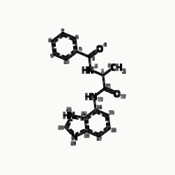 CC(NC(=O)c1ccccc1)C(=O)Nc1cccc2nc[nH]c12